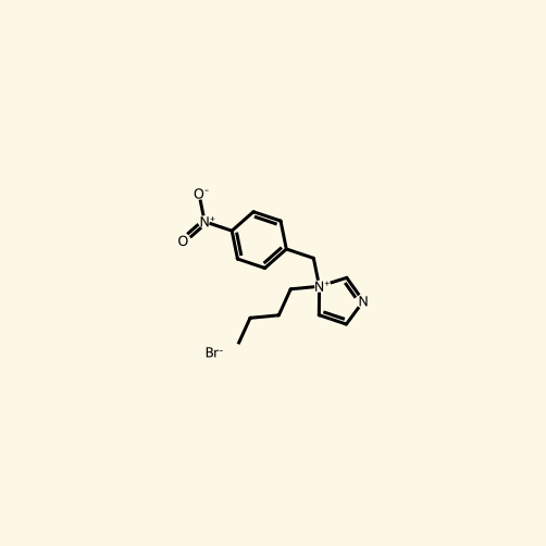 CCCC[N+]1(Cc2ccc([N+](=O)[O-])cc2)C=CN=C1.[Br-]